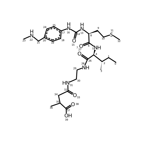 CC[C@H](C)[C@H](NC(=O)[C@H](CCSC)NC(=O)Nc1ccc(CNC)cc1)C(=O)NCCNC(=O)CC(C)C(=O)O